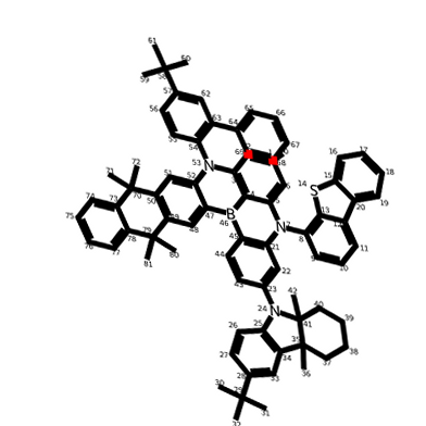 Cc1cc2c3c(c1)N(c1cccc4c1sc1ccccc14)c1cc(N4c5ccc(C(C)(C)C)cc5C5(C)CCCCC45C)ccc1B3c1cc3c(cc1N2c1ccc(C(C)(C)C)cc1-c1ccccc1)C(C)(C)c1ccccc1C3(C)C